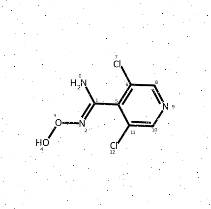 NC(=NOO)c1c(Cl)cncc1Cl